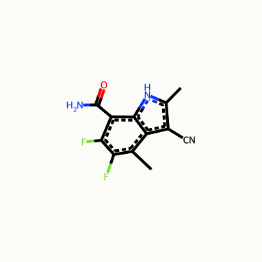 Cc1[nH]c2c(C(N)=O)c(F)c(F)c(C)c2c1C#N